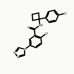 O=C(NC1(c2ccc(Cl)cc2)CCC1)c1cc(-n2cnnc2)ccc1Cl